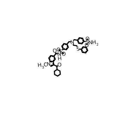 Cn1cc(C(=O)C2CCCCC2)c2cc(C(=O)NS(=O)(=O)c3ccc(CN(CCSc4ccccc4)Cc4ccc(S(N)(=O)=O)cc4)cc3)ccc21